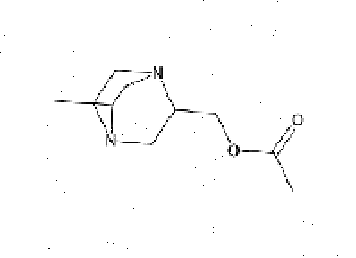 CC(=O)OCC1CN2CCN1CC2C